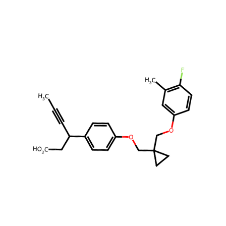 CC#CC(CC(=O)O)c1ccc(OCC2(COc3ccc(F)c(C)c3)CC2)cc1